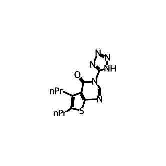 CCCc1sc2ncn(-c3nnn[nH]3)c(=O)c2c1CCC